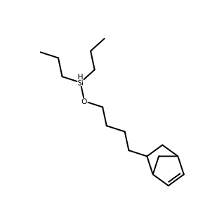 CCC[SiH](CCC)OCCCCC1CC2C=CC1C2